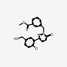 COC(=O)c1cccc(Cn2nc(-c3cc(CO)ccc3Cl)ccc2=O)c1